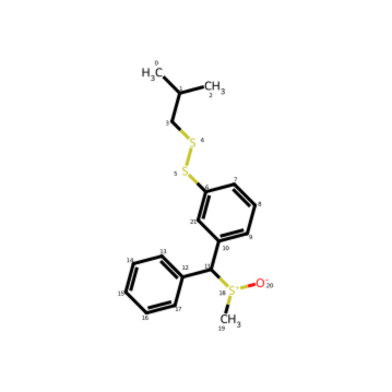 CC(C)CSSc1cccc(C(c2ccccc2)[S+](C)[O-])c1